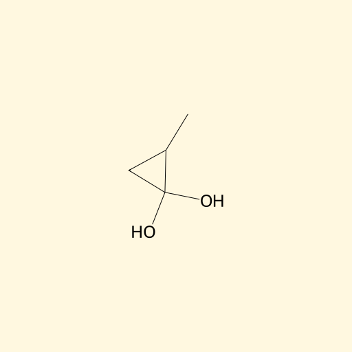 CC1CC1(O)O